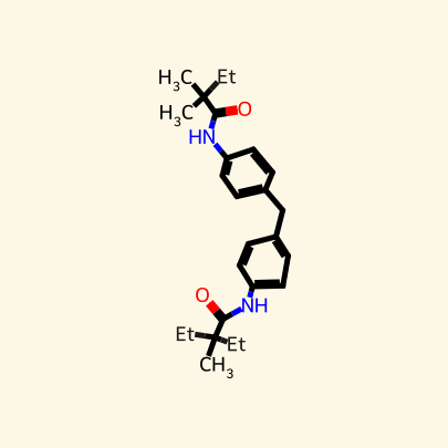 CCC(C)(C)C(=O)Nc1ccc(Cc2ccc(NC(=O)C(C)(CC)CC)cc2)cc1